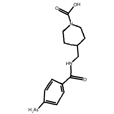 O=C(NCC1CCN(C(=O)O)CC1)c1ccc([AsH2])cc1